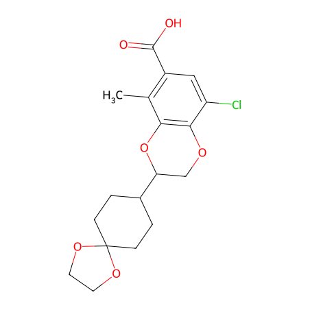 Cc1c(C(=O)O)cc(Cl)c2c1OC(C1CCC3(CC1)OCCO3)CO2